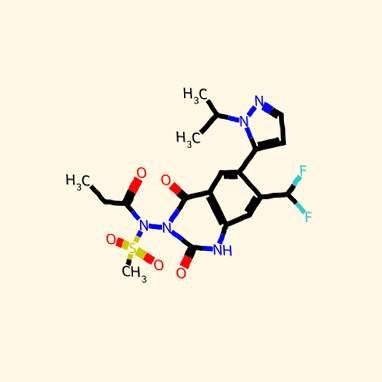 CCC(=O)N(n1c(=O)[nH]c2cc(C(F)F)c(-c3ccnn3C(C)C)cc2c1=O)S(C)(=O)=O